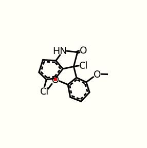 COc1cccc(OC)c1C1(Cl)C(=O)Nc2ccc(Cl)cc21